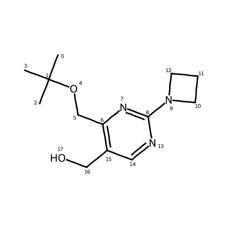 CC(C)(C)OCc1nc(N2CCC2)ncc1CO